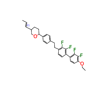 C/C=C/C1CCC(c2ccc(CCc3ccc(-c4ccc(OCC)c(F)c4F)c(F)c3F)cc2)OC1